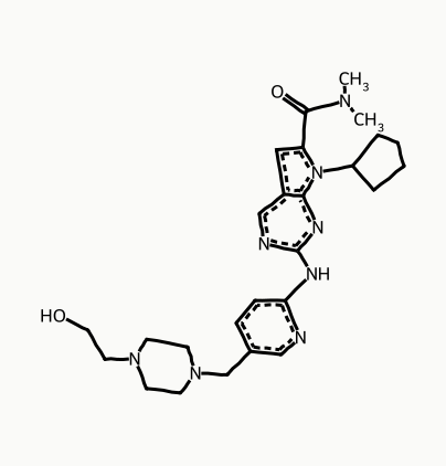 CN(C)C(=O)c1cc2cnc(Nc3ccc(CN4CCN(CCO)CC4)cn3)nc2n1C1CCCC1